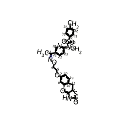 C/C(=N/OCCOc1ccc(CC2SC(=O)NC2=O)cc1)c1ccc(N(C)S(=O)(=O)c2ccc(C)cc2)nc1